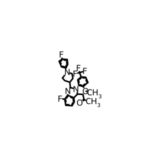 COc1ccc(C(F)(F)F)cc1N1C(C2CCN(c3ccc(F)cc3)CC2)=Nc2c(F)cccc2C1CC(C)=O